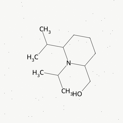 CC(C)C1CCCC(CO)N1C(C)C